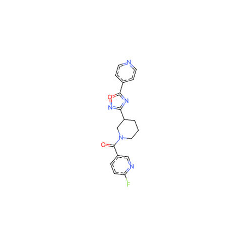 O=C(c1ccc(F)nc1)N1CCCC(c2noc(-c3ccncc3)n2)C1